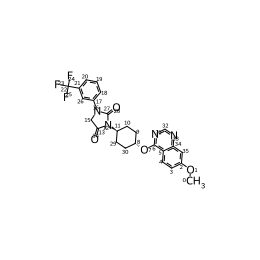 COc1ccc2c(O[C@H]3CC[C@H](N4C(=O)CN(c5cccc(C(F)(F)F)c5)C4=O)CC3)ncnc2c1